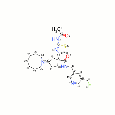 CC(=O)Nc1nc(C2(C(=O)NCc3cncc(CF)c3)CCC(N3CCCCCCC3)C2)cs1